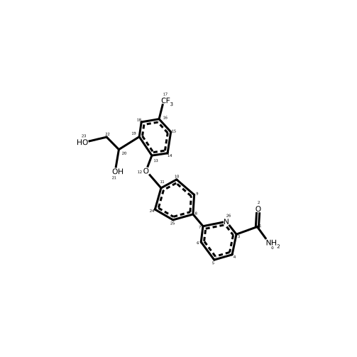 NC(=O)c1cccc(-c2ccc(Oc3ccc(C(F)(F)F)cc3C(O)CO)cc2)n1